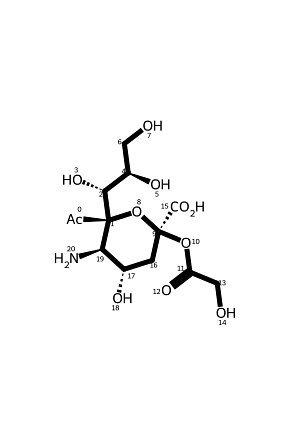 CC(=O)[C@@]1([C@H](O)[C@H](O)CO)O[C@](OC(=O)CO)(C(=O)O)C[C@H](O)[C@H]1N